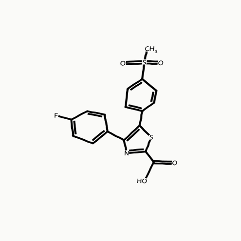 CS(=O)(=O)c1ccc(-c2sc(C(=O)O)nc2-c2ccc(F)cc2)cc1